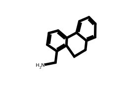 NCc1cccc2c1CCc1ccccc1-2